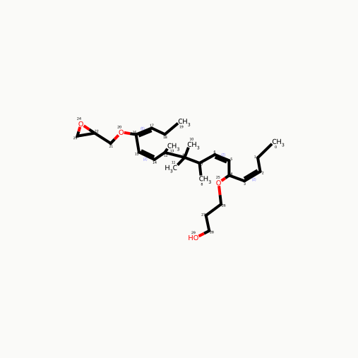 CC/C=C\C(/C=C\C(C)C(C)(C)C(C)/C=C\C(=C/CC)OCC1CO1)OCCCO